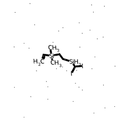 C=C[Si](C)(C)CC[SiH2]C(I)I